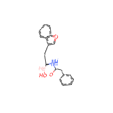 O=C(Cc1ccccc1)NC(BO)Cc1coc2ccccc12